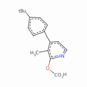 Cc1c(-c2ccc(C(C)(C)C)cc2)ccnc1OC(=O)O